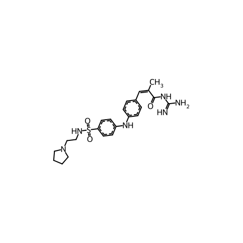 CC(=Cc1ccc(Nc2ccc(S(=O)(=O)NCCN3CCCC3)cc2)cc1)C(=O)NC(=N)N